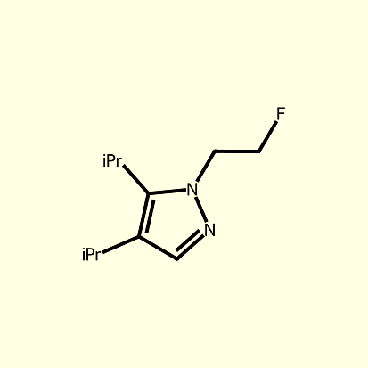 CC(C)c1cnn(CCF)c1C(C)C